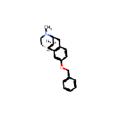 CN1CC[C@@]23CCCC[C@@H]2C1Cc1ccc(OCc2ccccc2)cc13